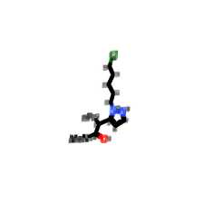 CCCC(C(=O)NC)c1ccnn1CCCCCCl